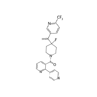 C=C(c1ccc(C(F)(F)F)nc1)C1(F)CCN(C(=O)c2cccnc2-c2ccncc2)CC1